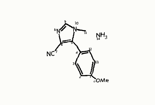 COc1ccc(-c2c(C#N)ncn2C)cc1.N